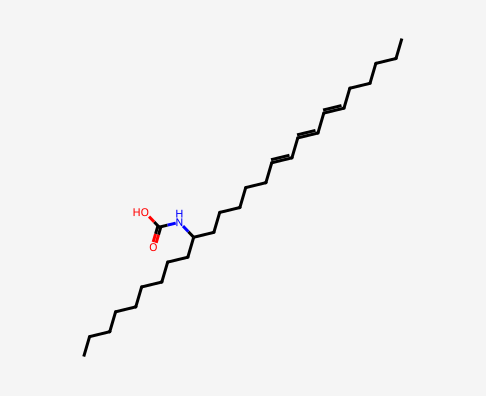 CCCCCC=CC=CC=CCCCCCC(CCCCCCCCC)NC(=O)O